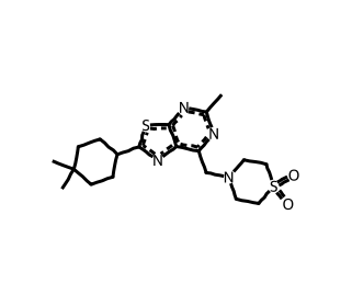 Cc1nc(CN2CCS(=O)(=O)CC2)c2nc(C3CCC(C)(C)CC3)sc2n1